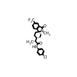 C[C@@H](C(=O)Nc1ccc(Cl)cc1)[C@H]1CC[C@]2(CC1)c1ccc(C(F)(F)F)cc1C(=O)N2C